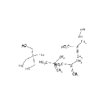 C=C(C)C(=O)O.C=C(C)C(=O)O.C=C(C)C(=O)O.CCC(CO)(CO)CO.CCCO